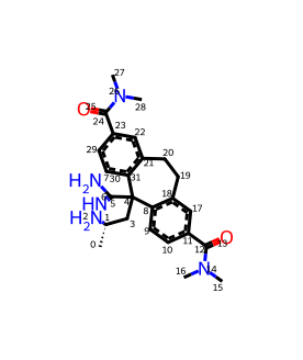 C[C@H](N)CC1(C(=N)N)c2ccc(C(=O)N(C)C)cc2CCc2cc(C(=O)N(C)C)ccc21